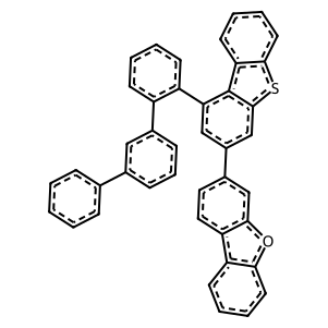 c1ccc(-c2cccc(-c3ccccc3-c3cc(-c4ccc5c(c4)oc4ccccc45)cc4sc5ccccc5c34)c2)cc1